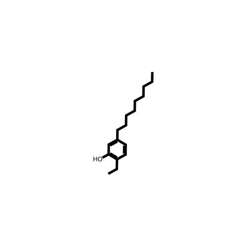 CCCCCCCCCc1ccc(CC)c(O)c1